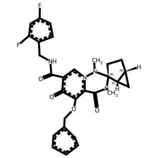 CN1C(=O)c2c(OCc3ccccc3)c(=O)c(C(=O)NCc3ccc(F)cc3F)cn2N(C)[C@@]12CC[C@@H]1C[C@@H]12